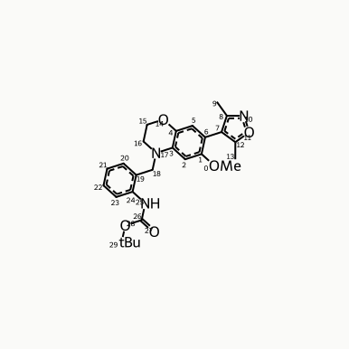 COc1cc2c(cc1-c1c(C)noc1C)OCCN2Cc1ccccc1NC(=O)OC(C)(C)C